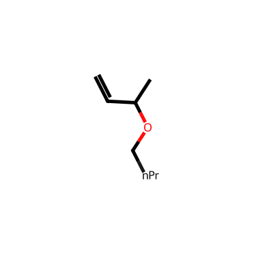 [CH2]CCCOC(C)C=C